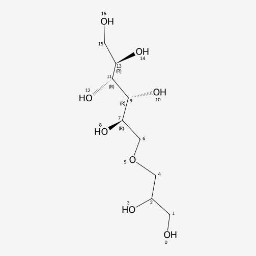 OCC(O)COC[C@@H](O)[C@@H](O)[C@H](O)[C@H](O)CO